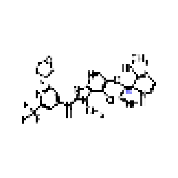 CNC1=NC=CN/C1=C(\C=N)Oc1cnc2nc(Nc3cc([C@@H]4CCOC4)nc(C(F)(F)F)c3)n(C)c2c1Cl